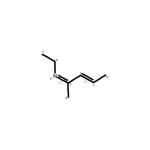 C/C=C/C(C)=N\CC